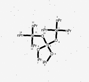 CCC[Si](CCC)(CCC)[O][Ti]([O]C(C)C)([O]C(C)C)[O][Si](CCC)(CCC)CCC